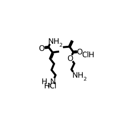 C/C(=C\CCCN)C(N)=O.C=C(C)C(=O)OCCN.Cl.Cl